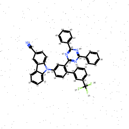 N#Cc1ccc2c(c1)c1ccccc1n2-c1ccc(-c2cccc(C(F)(F)F)c2)c(-c2nc(-c3ccccc3)nc(-c3ccccc3)n2)c1